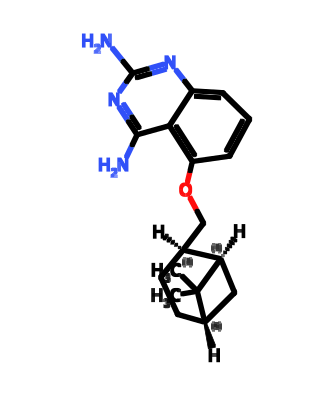 CC1(C)[C@H]2CC[C@@H](COc3cccc4nc(N)nc(N)c34)[C@H]1C2